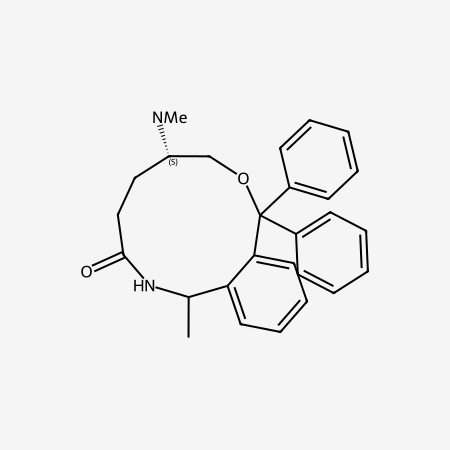 CN[C@H]1CCC(=O)NC(C)c2ccccc2C(c2ccccc2)(c2ccccc2)OC1